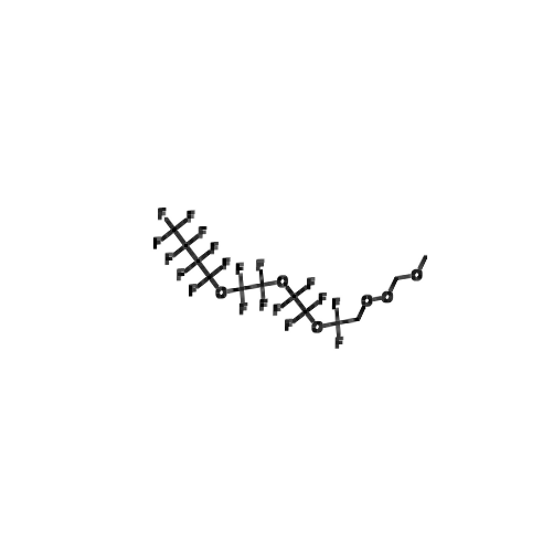 COCOOCC(F)(F)OC(F)(F)C(F)(F)OC(F)(F)C(F)(F)OC(F)(F)C(F)(F)C(F)(F)C(F)(F)F